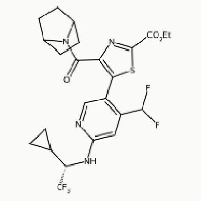 CCOC(=O)c1nc(C(=O)N2C3CCC2CC3)c(-c2cnc(N[C@@H](C3CC3)C(F)(F)F)cc2C(F)F)s1